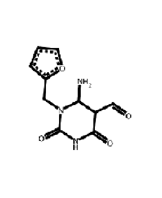 NC1C(C=O)C(=O)NC(=O)N1Cc1ccco1